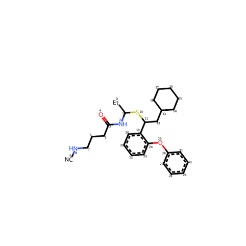 CCC(NC(=O)CCCNC#N)SC(CC1CCCCC1)c1ccccc1Oc1ccccc1